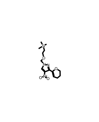 C[Si](C)(C)CCOCn1cc([N+](=O)[O-])c(C2=CCCCO2)n1